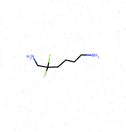 NCCCCC(F)(F)CN